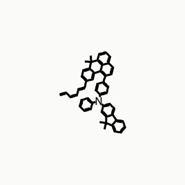 C=C/C=C\C=C\c1ccc2c(c1)-c1c(-c3ccc(N(c4ccccc4)c4ccc5c(c4)C(C)(C)c4ccccc4-5)cc3)ccc3cccc(c13)C2(C)C